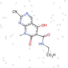 [C-]#[N+]c1ncc2c(O)c(C(=O)NCC(=O)O)c(=O)n(C)c2n1